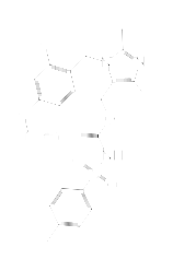 CCCCCOc1ccc(Cn2c(C)nc(Cl)c2COC(=O)NS(=O)(=O)c2ccc(C)cc2)c(Cl)c1